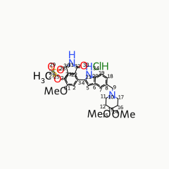 COc1cc(-c2cc3cc(CN4CCC(OC)(OC)CC4)ccc3[nH]2)c2c(c1OS(C)(=O)=O)CNC2=O.Cl